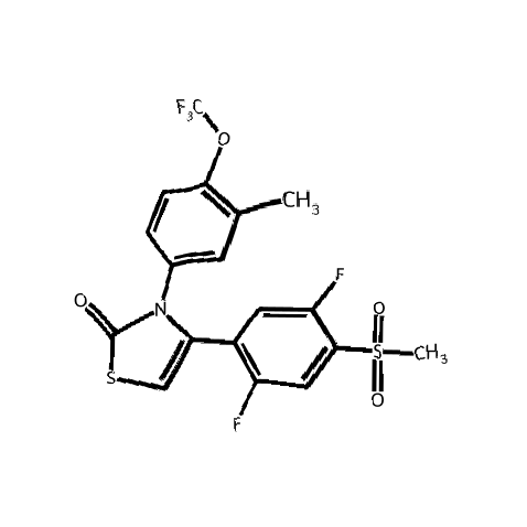 Cc1cc(-n2c(-c3cc(F)c(S(C)(=O)=O)cc3F)csc2=O)ccc1OC(F)(F)F